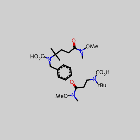 CON(C)C(=O)CCC(C)(C)N(Cc1ccccc1)C(=O)O.CON(C)C(=O)CCN(C(=O)O)C(C)(C)C